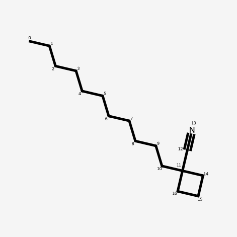 CCCCCCCCCCCC1(C#N)CCC1